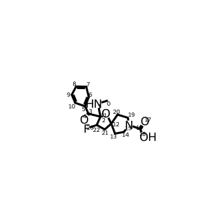 CNC1(C(=O)c2ccccc2)OC2(CCN(C(=O)O)CC2)CC1F